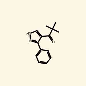 CC(C)(C)C(=O)c1c[nH]nc1-c1ccccc1